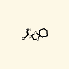 N=C(Cl)[C@H]1COC2(CCCCC2)O1